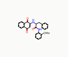 COc1ccccc1NC(=O)C(Cc1ccccc1)NC1=CC(=O)c2ccccc2C1=O